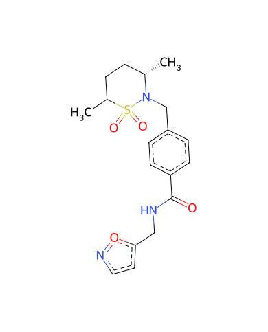 CC1CC[C@H](C)N(Cc2ccc(C(=O)NCc3ccno3)cc2)S1(=O)=O